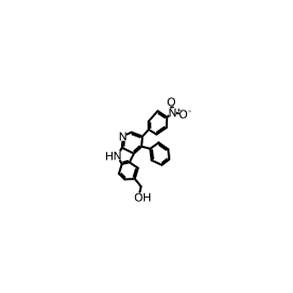 O=[N+]([O-])c1ccc(-c2cnc3[nH]c4ccc(CO)cc4c3c2-c2ccccc2)cc1